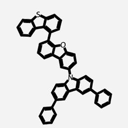 c1ccc(-c2ccc3c(c2)c2cc(-c4ccccc4)ccc2n3-c2ccc3oc4c(-c5cccc6sc7ccccc7c56)cccc4c3c2)cc1